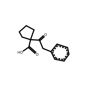 O=C(O)C1(C(=O)Cc2ccccc2)CCCC1